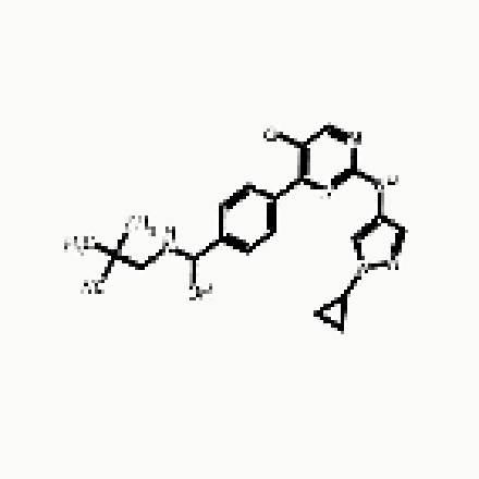 CC(C)(C#N)CNC(O)c1ccc(-c2nc(Nc3cnn(C4CC4)c3)ncc2Cl)cc1